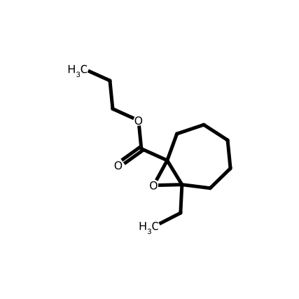 CCCOC(=O)C12CCCCCC1(CC)O2